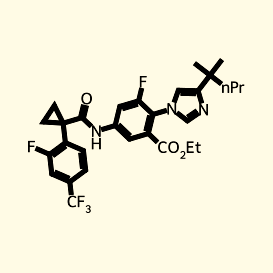 CCCC(C)(C)c1cn(-c2c(F)cc(NC(=O)C3(c4ccc(C(F)(F)F)cc4F)CC3)cc2C(=O)OCC)cn1